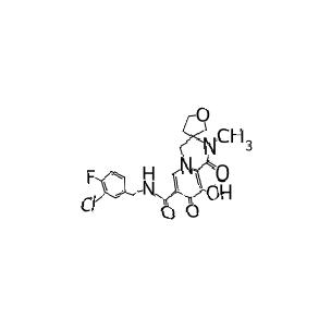 CN1C(=O)c2c(O)c(=O)c(C(=O)NCc3ccc(F)c(Cl)c3)cn2CC12CCOC2